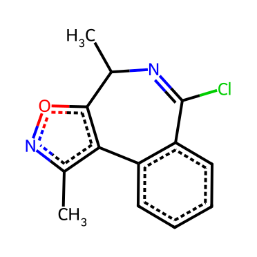 Cc1noc2c1-c1ccccc1C(Cl)=NC2C